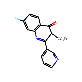 CCOC(=O)C1C(=O)c2ccc(F)cc2N=C1c1cccnc1